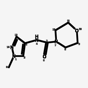 Cn1cc(NC(=O)N2CCOCC2)cn1